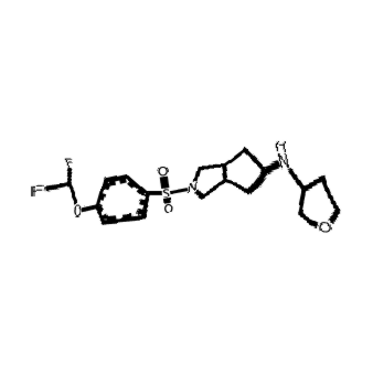 O=S(=O)(c1ccc(OC(F)F)cc1)N1CC2CC(NC3CCOC3)CC2C1